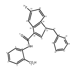 O=C(O)c1ccccc1NC(=O)c1cn(Cc2ccccn2)c2ccc(F)cc12